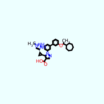 CC(Oc1cccc(-c2cccc(-n3ncc(C(=O)O)c3C3C[C@@H]3C3=CN(C)NN3)c2)c1)C1CCCCCC1